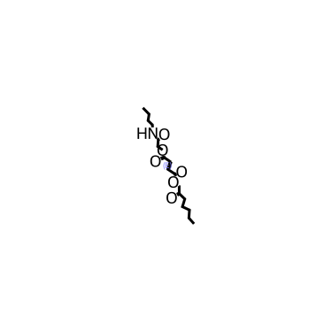 CCCCCC(=O)COC(=O)/C=C/C(=O)OCC(=O)NCCCC